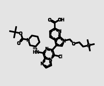 CC(C)(C)OC(=O)N1CCC[C@H](Nc2nc(-c3cn(COCC[Si](C)(C)C)c4nc(C(=O)O)ccc34)c(Cl)n3ccnc23)C1